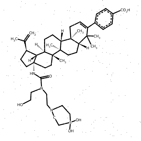 C=C(C)[C@@H]1CC[C@]2(NC(=O)N(CCO)CCN3CCS(O)(O)CC3)CC[C@]3(C)[C@H](CC[C@@H]4[C@@]5(C)CC=C(c6ccc(C(=O)O)cc6)C(C)(C)[C@@H]5CC[C@]43C)[C@@H]12